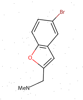 CNCc1cc2cc(Br)ccc2o1